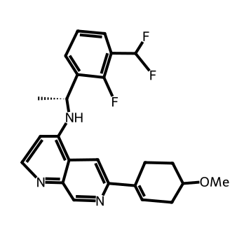 COC1CC=C(c2cc3c(N[C@H](C)c4cccc(C(F)F)c4F)ccnc3cn2)CC1